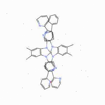 Cc1cc2c(cc1C)N(c1ccc(-c3ccccn3)nc1)[Si]1(N2c2ccc(-c3ccccc3)nc2)N(c2ccc(-c3ccccn3)nc2)c2cc(C)c(C)cc2N1c1ccc(-c2ccccn2)nc1